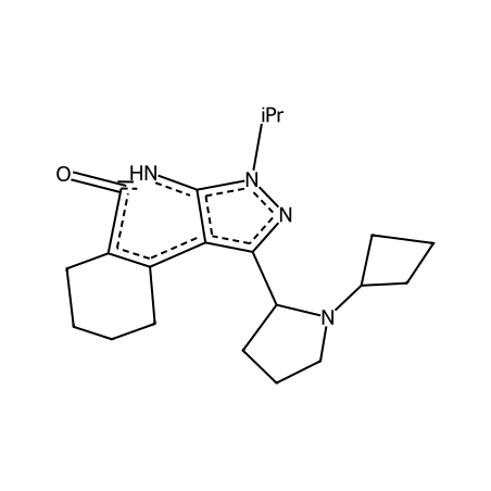 CC(C)n1nc(C2CCCN2C2CCC2)c2c3c(c(=O)[nH]c21)CCCC3